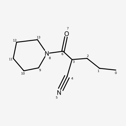 CCCC(C#N)C(=O)N1CCCCC1